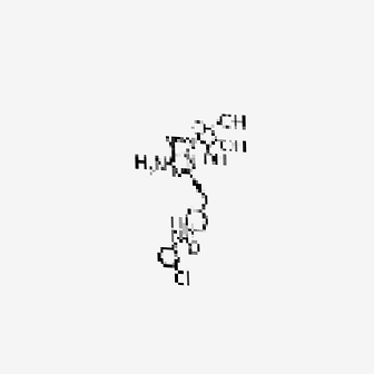 Nc1nc(C#CCC2CCN(C(=O)Nc3cccc(Cl)c3)CC2)nc2c1ncn2[C@@H]1O[C@H](CO)[C@H](O)C1O